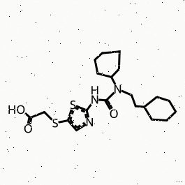 O=C(O)CSc1cnc(NC(=O)N(CCC2CCCCC2)C2CCCCC2)s1